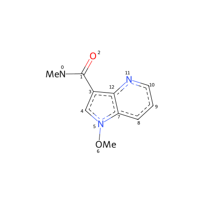 CNC(=O)c1cn(OC)c2cccnc12